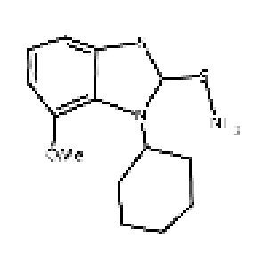 COc1cccc2c1N(C1CCCCC1)C(SN)S2